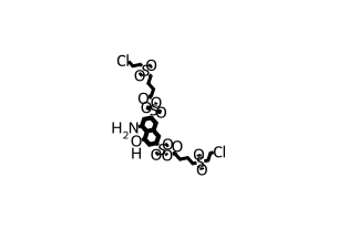 Nc1cc(S(=O)(=O)OC(=O)CCCS(=O)(=O)CCCl)cc2cc(S(=O)(=O)OC(=O)CCCS(=O)(=O)CCCl)cc(O)c12